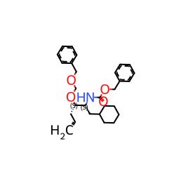 C=CC[C@H](OCOCc1ccccc1)[C@H](CC1CCCCC1)NC(=O)OCc1ccccc1